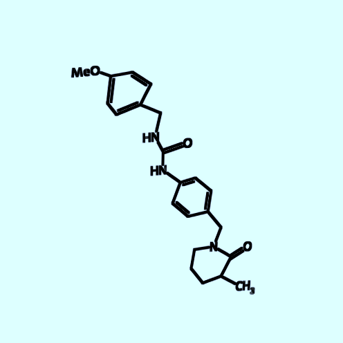 COc1ccc(CNC(=O)Nc2ccc(CN3CCCC(C)C3=O)cc2)cc1